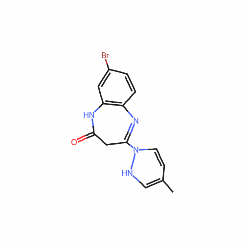 CC1=CNN(C2=Nc3ccc(Br)cc3NC(=O)C2)C=C1